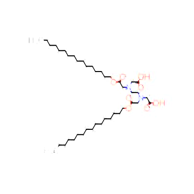 CCCCCCCCCCCCCCCCOC(=O)CN(CCN(CC(=O)O)CC(=O)OCCCCCCCCCCCCCCCC)CC(=O)O